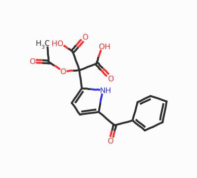 CC(=O)OC(C(=O)O)(C(=O)O)c1ccc(C(=O)c2ccccc2)[nH]1